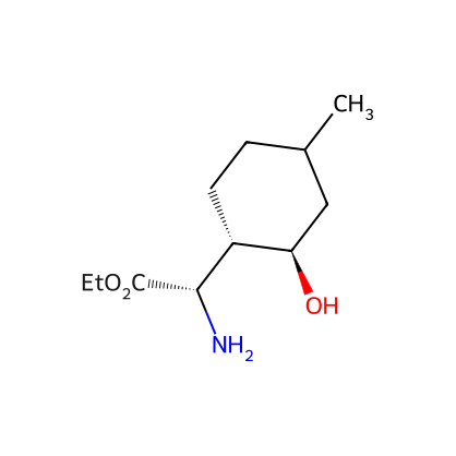 CCOC(=O)[C@@H](N)[C@@H]1CCC(C)C[C@H]1O